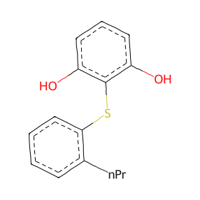 CCCc1ccccc1Sc1c(O)cccc1O